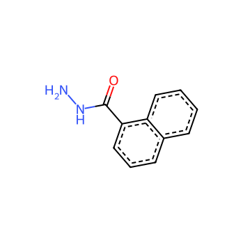 NNC(=O)c1cccc2ccccc12